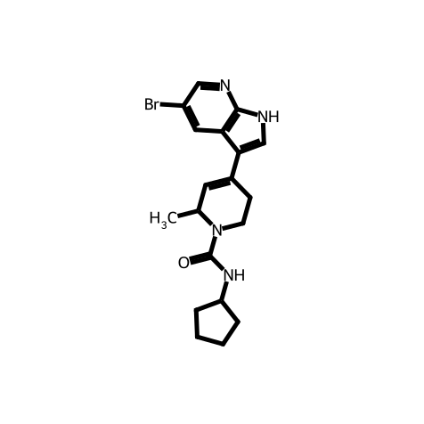 CC1C=C(c2c[nH]c3ncc(Br)cc23)CCN1C(=O)NC1CCCC1